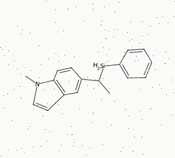 CC([SiH2]c1ccccc1)c1ccc2c(ccn2C)c1